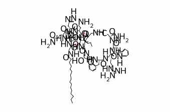 CCCCCCCCCCCCCCCC(=O)NCC(=O)N[C@H](C(=O)N[C@@H](CCC(N)=O)C(=O)N[C@@H](Cc1c[nH]cn1)C(=O)N[C@@H](CCN)C(=O)N[C@@H](CCCC)C(=O)N[C@H]1CCC(=O)CNCCCC[C@@H](C(N)=O)NC(=O)[C@H](Cc2c[nH]c3ccccc23)NC(=O)[C@H](CCCNC(=N)N)NC(=O)[C@@H](Cc2ccccc2)NC(=O)[C@@H]2C[C@@H](O)CN2C1=O)[C@@H](C)O